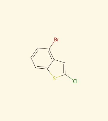 Clc1cc2c(Br)cccc2s1